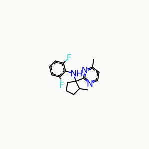 Cc1ccnc(C2(Nc3c(F)cccc3F)CCCC2C)n1